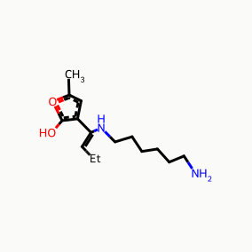 CC/C=C(\NCCCCCCN)c1cc(C)oc1O